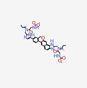 CC[C@H](C)N(Cc1ncc(-c2ccc3c(c2)COc2cc4c(ccc5nc(CN(C(=O)CNC(=O)OC)[C@@H](C)CC)[nH]c54)cc2-3)[nH]1)C(=O)CNC(=O)OC